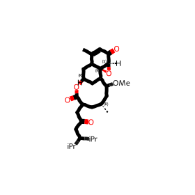 COC1C[C@H](C)CC(CC(=O)CC(C(C)C)C(C)C)C(=O)O[C@@H]2CC3C(C)=CC(=O)[C@H]4O[C@@]34C1C2